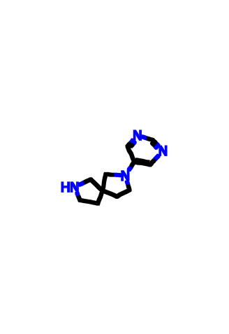 c1ncc(N2CCC3(CCNC3)C2)cn1